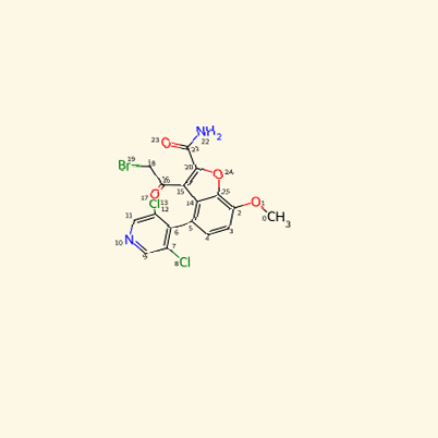 COc1ccc(-c2c(Cl)cncc2Cl)c2c(C(=O)CBr)c(C(N)=O)oc12